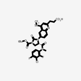 CN(C(=O)[C@@H]1CN(C(=O)OC(C)(C)C)C(=O)N1c1ccc2nc(CCC(=O)O)cc([Se]C(F)(F)F)c2c1)c1ccc(F)c(Cl)c1F